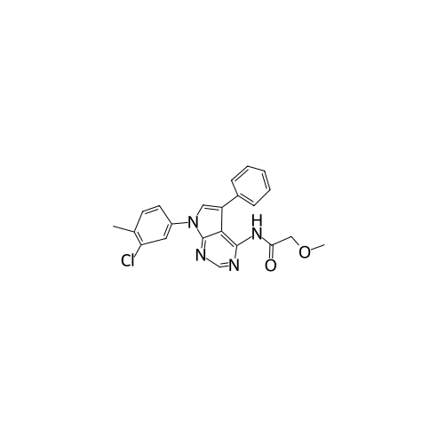 COCC(=O)Nc1ncnc2c1c(-c1ccccc1)cn2-c1ccc(C)c(Cl)c1